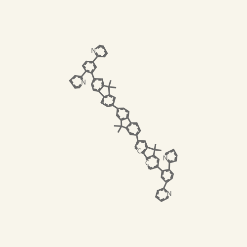 CC1(C)c2cc(-c3ccc4c(c3)C(C)(C)c3cc(-c5cc(-c6ccccn6)ccc5-c5ccccn5)ccc3-4)ccc2-c2ccc(-c3ccc4c(c3)C(C)(C)c3cc(-c5cc(-c6ccccn6)ccc5-c5ccccn5)ccc3-4)cc21